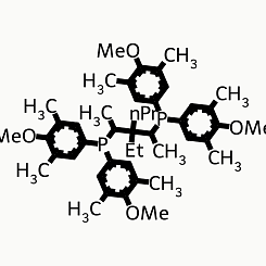 CCCC(CC)(C(C)P(c1cc(C)c(OC)c(C)c1)c1cc(C)c(OC)c(C)c1)C(C)P(c1cc(C)c(OC)c(C)c1)c1cc(C)c(OC)c(C)c1